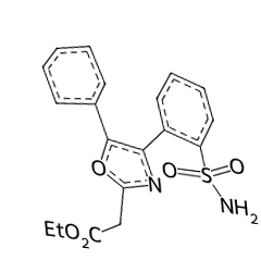 CCOC(=O)Cc1nc(-c2ccccc2S(N)(=O)=O)c(-c2ccccc2)o1